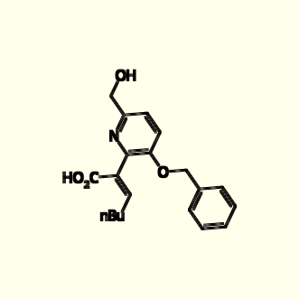 CCCCC=C(C(=O)O)c1nc(CO)ccc1OCc1ccccc1